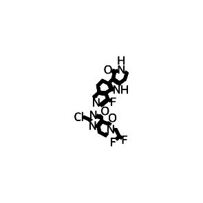 O=C1NCCc2[nH]c3c(c21)CCc1cnc(Oc2nc(Cl)nc4c2C(=O)N(CC(F)F)CC4)c(F)c1-3